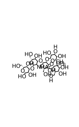 CC(=O)N[C@H]1[C@H](O[C@H]2[C@@H](O)[C@@H](CO)OC(O)[C@@H]2O)O[C@H](CO)[C@@H](O)[C@@H]1O[C@@H]1O[C@H](CO)[C@H](O)[C@H](O[C@H]2O[C@H](CO)[C@H](O)[C@H](O)[C@H]2O)[C@H]1O[C@@H]1O[C@@H](C)[C@@H](O)[C@@H](O)[C@@H]1O